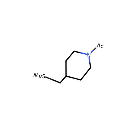 CSCC1CCN(C(C)=O)CC1